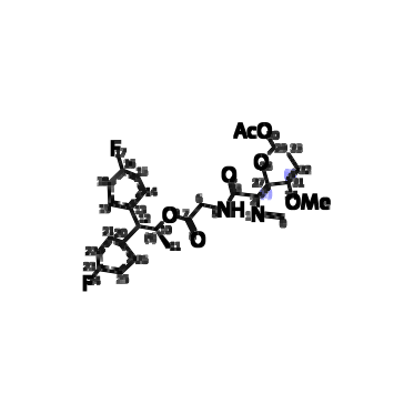 C=N/C(C(=O)NCC(=O)O[C@@H](C)C(c1ccc(F)cc1)c1ccc(F)cc1)=C(OCOC(C)=O)\C(=C/C)OC